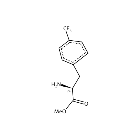 COC(=O)[C@@H](N)Cc1ccc(C(F)(F)F)cc1